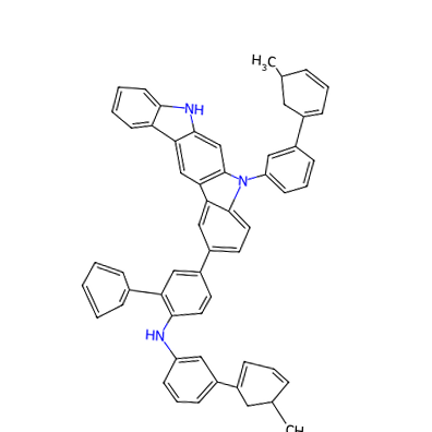 CC1C=CC=C(c2cccc(Nc3ccc(-c4ccc5c(c4)c4cc6c(cc4n5-c4cccc(C5=CC=CC(C)C5)c4)[nH]c4ccccc46)cc3-c3ccccc3)c2)C1